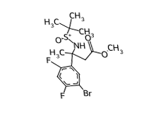 COC(=O)CC(C)(N[S@+]([O-])C(C)(C)C)c1cc(Br)c(F)cc1F